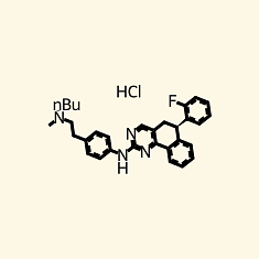 CCCCN(C)CCc1ccc(Nc2ncc3c(n2)-c2ccccc2[C@H](c2ccccc2F)C3)cc1.Cl